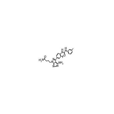 Cc1cccc(NC(=O)Nc2ccc(-c3nn(CCCC(N)=O)c4ncnc(N)c34)cc2F)c1